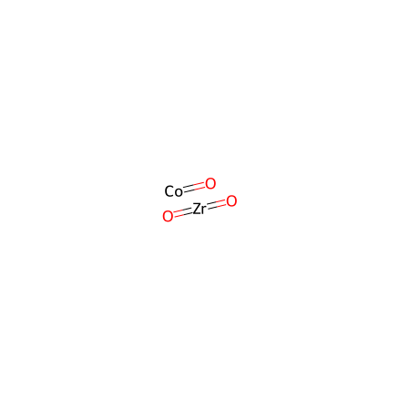 [O]=[Co].[O]=[Zr]=[O]